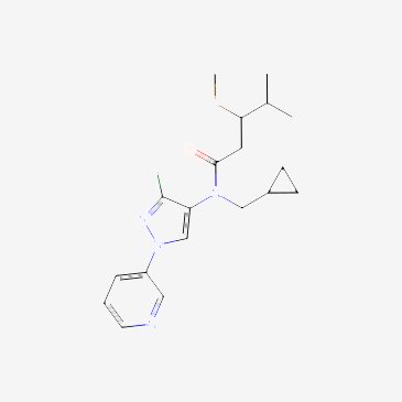 CSC(CC(=O)N(CC1CC1)c1cn(-c2cccnc2)nc1Cl)C(C)C